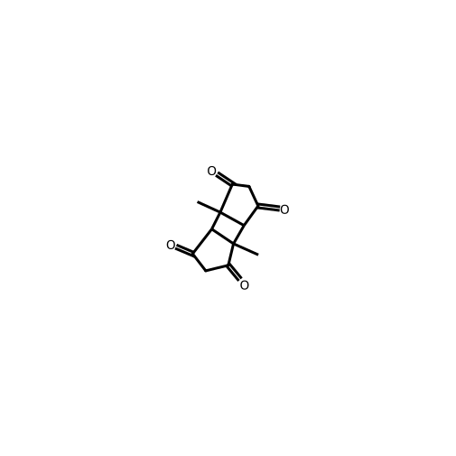 CC12C(=O)CC(=O)C1C1(C)C(=O)CC(=O)C21